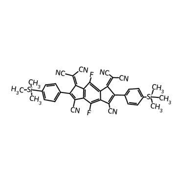 C[Si](C)(C)c1ccc(C2=C(C#N)c3c(F)c4c(c(F)c3C2=C(C#N)C#N)C(=C(C#N)C#N)C(c2ccc([Si](C)(C)C)cc2)=C4C#N)cc1